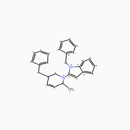 CC1C=CC(Cc2ccccc2)CN1c1cc2ccccc2n1Cc1ccccc1